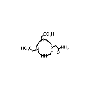 NC(=O)CN1CCNCCN(CC(=O)O)CCN(CC(=O)O)CC1